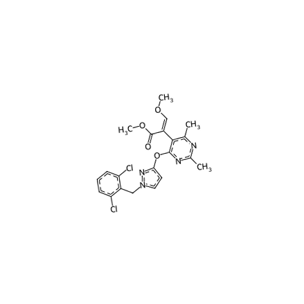 COC=C(C(=O)OC)c1c(C)nc(C)nc1Oc1ccn(Cc2c(Cl)cccc2Cl)n1